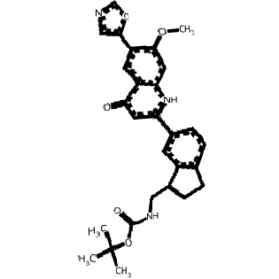 COc1cc2[nH]c(-c3ccc4c(c3)C(CNC(=O)OC(C)(C)C)CC4)cc(=O)c2cc1-c1cnco1